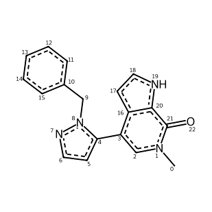 Cn1cc(-c2ccnn2Cc2ccccc2)c2cc[nH]c2c1=O